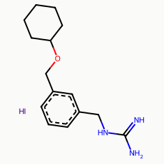 I.N=C(N)NCc1cccc(COC2CCCCC2)c1